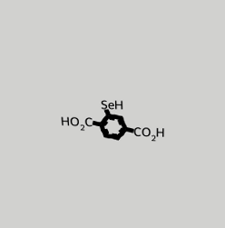 O=C(O)c1ccc(C(=O)O)c([SeH])c1